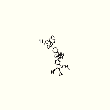 C[C@H]1COCCN1C(=O)[C@H]1CC[C@H](NS(=O)(=O)c2ccc3c(C#N)c(C4CC4)n(C)c3c2)CC1